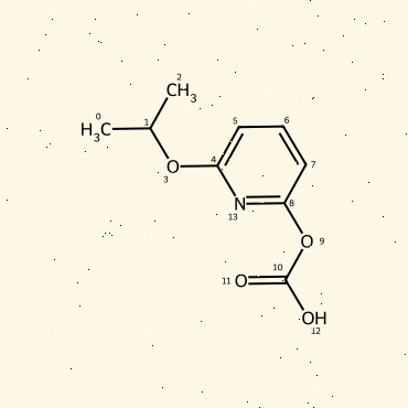 CC(C)Oc1cccc(OC(=O)O)n1